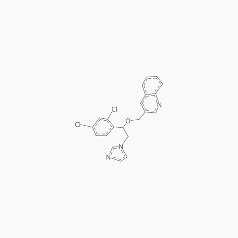 Clc1ccc(C(Cn2ccnc2)OCc2cnc3ccccc3c2)c(Cl)c1